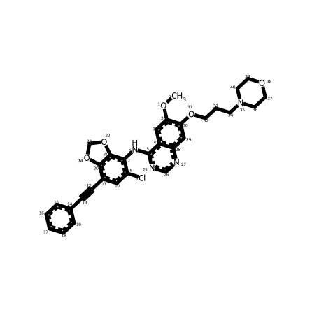 COc1cc2c(Nc3c(Cl)cc(C#Cc4ccccc4)c4c3OCO4)ncnc2cc1OCCCN1CCOCC1